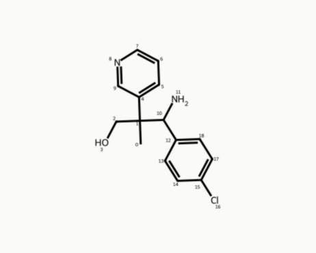 CC(CO)(c1cccnc1)C(N)c1ccc(Cl)cc1